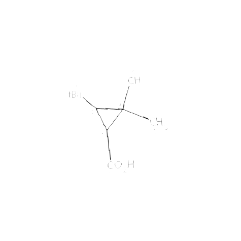 CC(C)(C)C1C(C(=O)O)C1(C)C